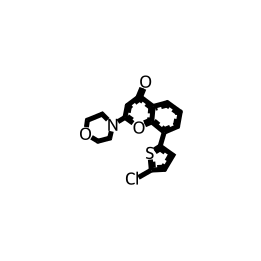 O=c1cc(N2CCOCC2)oc2c(-c3ccc(Cl)s3)cccc12